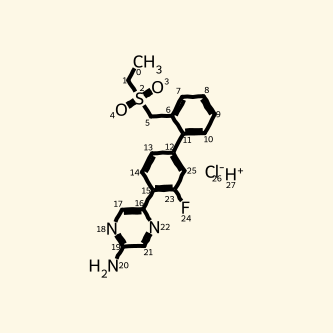 CCS(=O)(=O)Cc1ccccc1-c1ccc(-c2cnc(N)cn2)c(F)c1.[Cl-].[H+]